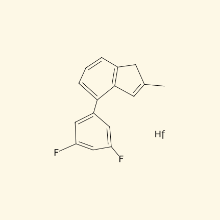 CC1=Cc2c(cccc2-c2cc(F)cc(F)c2)C1.[Hf]